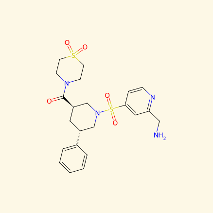 NCc1cc(S(=O)(=O)N2C[C@H](C(=O)N3CCS(=O)(=O)CC3)C[C@@H](c3ccccc3)C2)ccn1